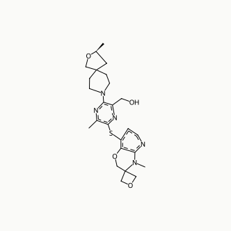 Cc1nc(N2CCC3(CC2)CO[C@@H](C)C3)c(CO)nc1Sc1ccnc2c1OCC1(COC1)N2C